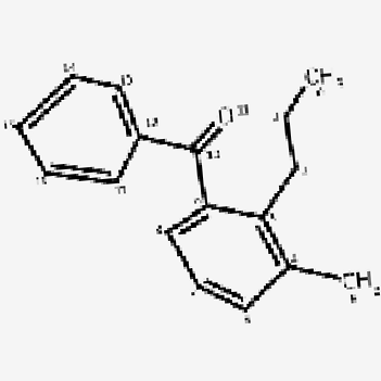 CCCc1c(C)cccc1C(=O)c1ccccc1